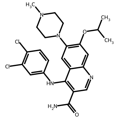 CC(C)Oc1cc2ncc(C(N)=O)c(Nc3ccc(Cl)c(Cl)c3)c2cc1N1CCN(C)CC1